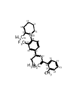 C=C(/N=C(\CN)c1ccc(N2CCCCC2C)c(C(F)(F)F)c1)c1ccccc1C